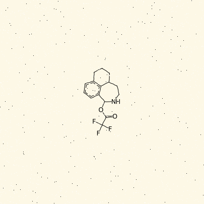 O=C(OC1NCCC2CCCc3cccc1c32)C(F)(F)F